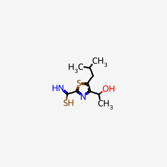 CC(C)Cc1sc(C(=N)S)nc1C(C)O